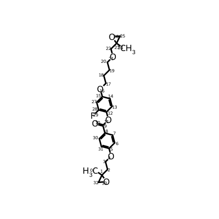 CC1(CCOc2ccc(C(=O)Oc3ccc(OCCCCOCC4(C)CO4)cc3F)cc2)CO1